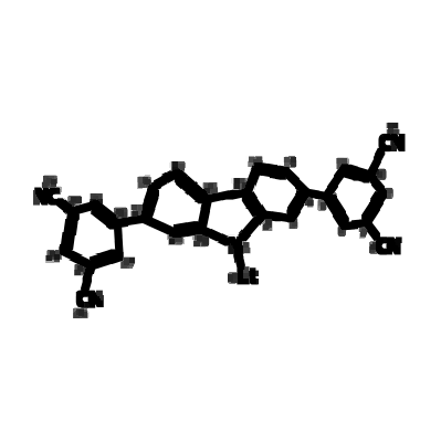 CCn1c2cc(-c3cc(C#N)cc(C#N)c3)ccc2c2ccc(-c3cc(C#N)cc(C#N)c3)cc21